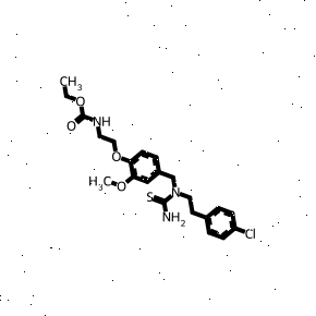 CCOC(=O)NCCOc1ccc(CN(CCc2ccc(Cl)cc2)C(N)=S)cc1OC